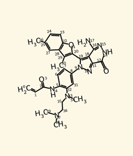 C=CC(=O)Nc1ccc(-n2nc3c(=O)[nH]nc(N)c3c2-c2oc3ccc(C)cc3c2C)cc1N(C)CCN(C)C